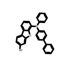 CC(C)c1ccc2c(c1)oc1c(N(c3ccccc3)c3ccc(-c4ccccc4)cc3)cccc12